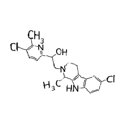 Cc1nc(C(O)CN2CCc3c([nH]c4ccc(Cl)cc34)C2C)ccc1Cl